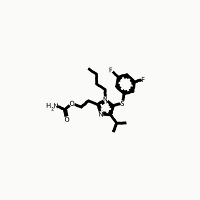 CCCCn1c(CCOC(N)=O)nc(C(C)C)c1Sc1cc(F)cc(F)c1